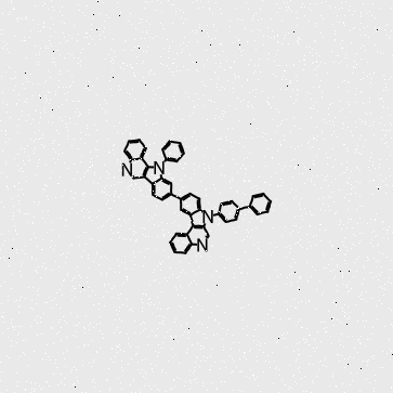 c1ccc(-c2ccc(-n3c4ccc(-c5ccc6c7cnc8ccccc8c7n(-c7ccccc7)c6c5)cc4c4c5ccccc5ncc43)cc2)cc1